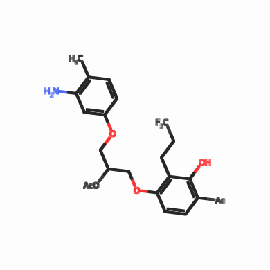 CC(=O)OC(COc1ccc(C)c(N)c1)COc1ccc(C(C)=O)c(O)c1CCC(F)(F)F